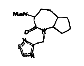 CNC1CCC2CCCC2N(Cc2ncsn2)C1=O